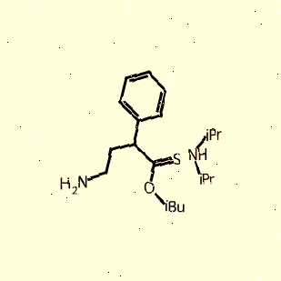 CC(C)NC(C)C.CCC(C)OC(=S)C(CCN)c1ccccc1